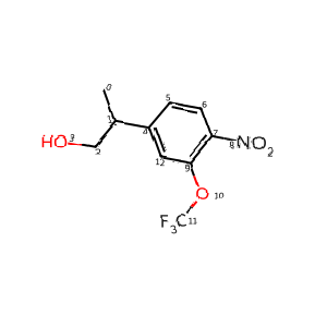 C[C](CO)c1ccc([N+](=O)[O-])c(OC(F)(F)F)c1